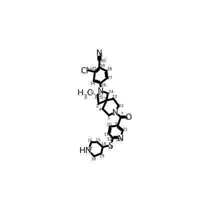 C[C@H]1CC2(CCN(C(=O)c3ccc(SC4CCNCC4)nc3)CC2)CN1c1ccc(C#N)c(Cl)c1